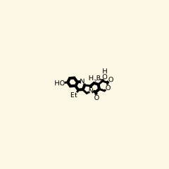 B[C@@]1(O)C(=O)OCc2c1cc1n(c2=O)Cc2c-1nc1ccc(O)cc1c2CC